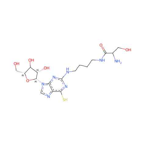 NC(CO)C(=O)NCCCCNc1nc(S)c2ncn([C@@H]3O[C@H](CO)C(O)[C@@H]3O)c2n1